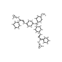 Cc1ccc(N(c2ccc(C=NN(CC3CO3)c3ccccc3)cc2)c2ccc(C=NN(CC3CO3)c3ccccc3)cc2)cc1